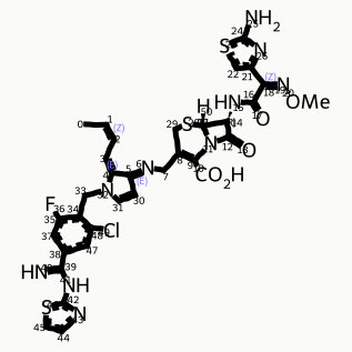 C\C=C/C=C1\C(=N\CC2=C(C(=O)O)N3C(=O)[C@@H](NC(=O)/C(=N\OC)c4csc(N)n4)[C@H]3SC2)C=CN1Cc1c(F)cc(C(=N)Nc2nccs2)cc1Cl